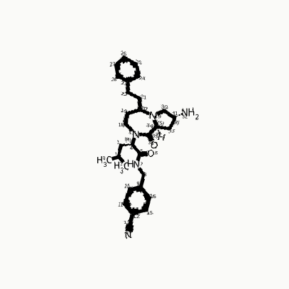 CC(C)C[C@H](C(=O)NCc1ccc(C#N)cc1)N1CCC(CCc2ccccc2)N2C[C@H](N)C[C@H]2C1=O